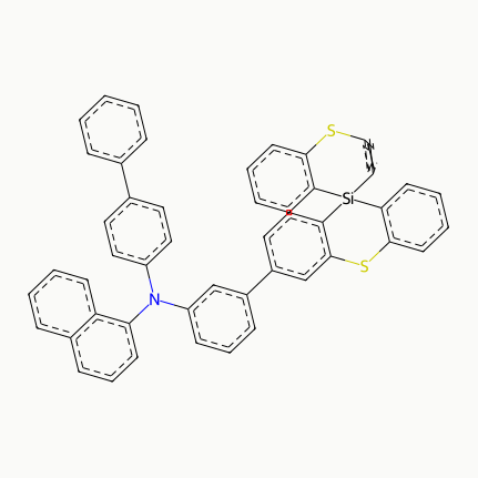 c1ccc(-c2ccc(N(c3cccc(-c4ccc5c(c4)Sc4ccccc4[Si]54c5ccccc5Sc5ccccc54)c3)c3cccc4ccccc34)cc2)cc1